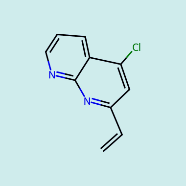 C=Cc1cc(Cl)c2cccnc2n1